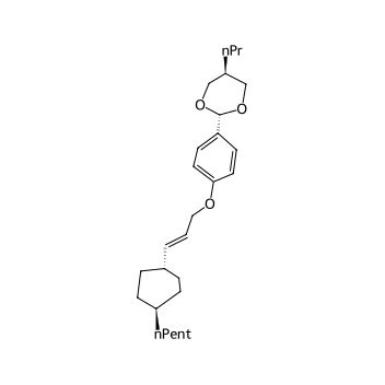 CCCCC[C@H]1CC[C@H](C=CCOc2ccc([C@H]3OC[C@H](CCC)CO3)cc2)CC1